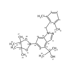 Cc1cccc(C)c1Cn1ncc2c(C(C)(C)O)cc(B3OC(C)(C)C(C)(C)O3)cc21